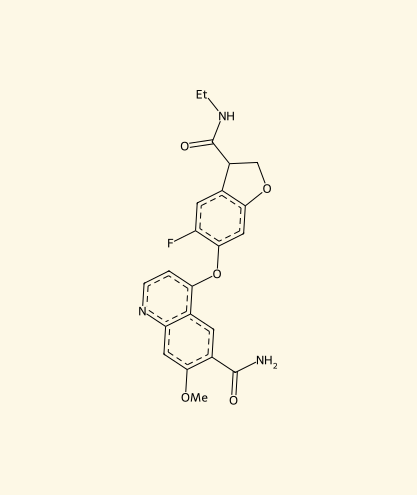 CCNC(=O)C1COc2cc(Oc3ccnc4cc(OC)c(C(N)=O)cc34)c(F)cc21